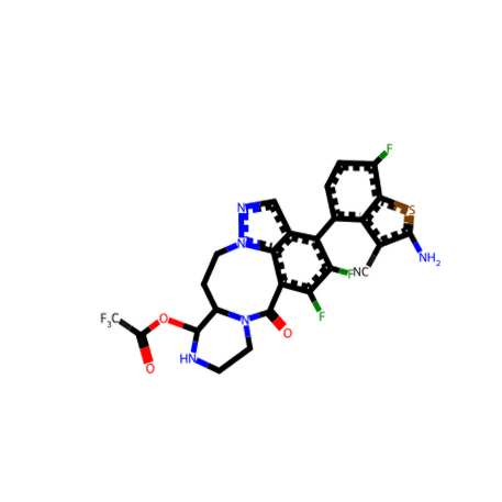 N#Cc1c(N)sc2c(F)ccc(-c3c(F)c(F)c4c5c3cnn5CCC3C(OC(=O)C(F)(F)F)NCCN3C4=O)c12